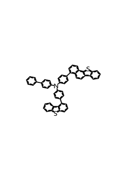 c1ccc(-c2ccc(N(c3ccc(-c4cccc5c4ccc4c6ccccc6sc54)cc3)c3ccc(-c4cccc5sc6ccccc6c45)cc3)cc2)cc1